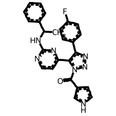 CC(Nc1nccc(-c2c(-c3ccc(F)cc3)nnn2C(=O)c2cc[nH]c2)n1)c1ccccc1